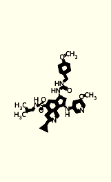 COc1ccc(CNC(=O)N[C@@H]2C[C@@H](Nc3cncc(OC)c3)c3c2cc(S(=O)(=O)NCC(C)C)c2cc(C4CC4)ncc32)cc1